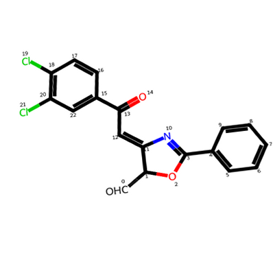 O=CC1OC(c2ccccc2)=N/C1=C\C(=O)c1ccc(Cl)c(Cl)c1